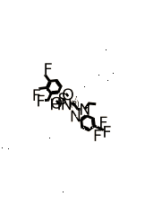 CCn1c([C@@H](C)NS(=O)(=O)c2ccc(CF)c(CF)c2CF)nc2ccc(C(F)(F)F)cc21